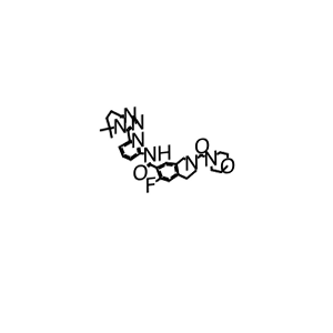 CC1(C)CCc2nnc(-c3cccc(NC(=O)c4cc5c(cc4F)CCN(C(=O)N4CCOCC4)C5)n3)n21